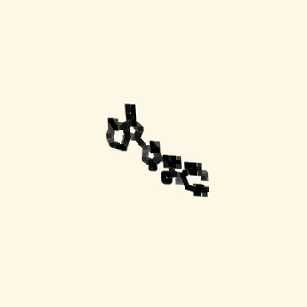 CC(C)C[C@H](N)C(=O)Nc1nc(-c2c[nH]c3ncccc23)cs1